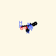 CNC(=O)CCCCCC(NC(=O)C12CCN(CC1)CC2)c1ncc(-c2ccc3ccccc3c2)[nH]1